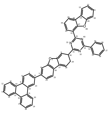 C1=c2oc3cc(-c4ccc5c6ccccc6c6ccccc6c5c4)ccc3c2=CCC1c1nc(-c2ccccc2)nc(-c2cccc3c2oc2ccccc23)n1